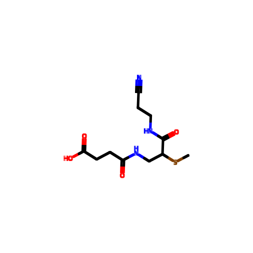 CSC(CNC(=O)CCC(=O)O)C(=O)NCCC#N